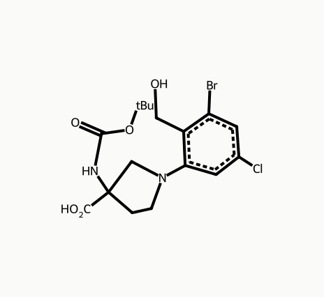 CC(C)(C)OC(=O)NC1(C(=O)O)CCN(c2cc(Cl)cc(Br)c2CO)C1